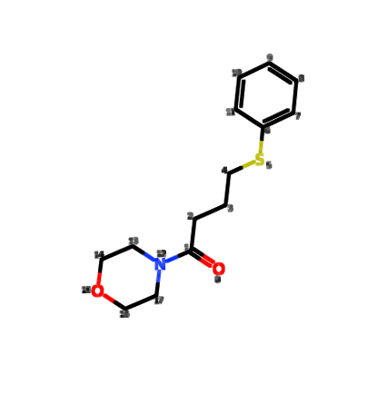 O=C(CCCSc1ccccc1)N1CCOCC1